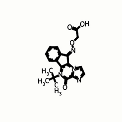 CC(C)(C)n1c2c(n3ccnc3c1=O)C(=NOCC(=O)O)c1ccccc1-2